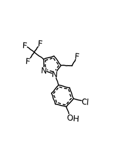 Oc1ccc(-n2nc(C(F)(F)F)cc2CF)cc1Cl